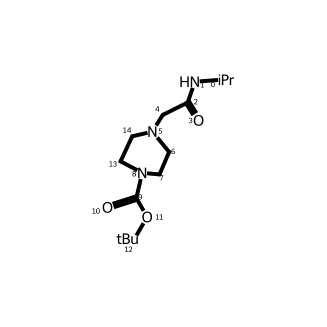 CC(C)NC(=O)CN1CCN(C(=O)OC(C)(C)C)CC1